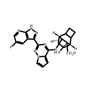 O=C(O)[C@@H]1[C@@H](Nc2nc(-c3n[nH]c4ncc(F)cc34)nn3cccc23)[C@@H]2CC[C@H]1C1CCC12